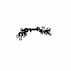 CC(C)(C(=O)Nc1cnc(C#N)c(C(F)(F)F)c1)n1cc(C#CC2CN(c3ccc4c(c3)C(=O)N([C@H]3CCC(=O)NC3=O)C4=O)C2)cn1